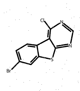 Clc1ncnc2sc3cc(Br)ccc3c12